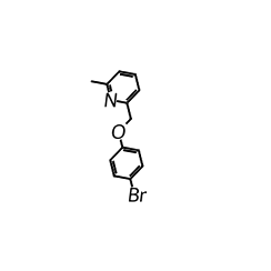 Cc1cccc(COc2ccc(Br)cc2)n1